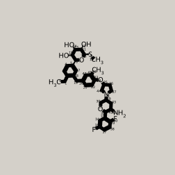 CCc1ccc([C@@H]2O[C@H](SC)[C@@H](O)[C@H](O)[C@H]2O)cc1Cc1ccc(OC2CCN(C3COC(c4cc(F)ccc4F)C(N)C3)C2)c(C)c1